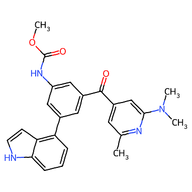 COC(=O)Nc1cc(C(=O)c2cc(C)nc(N(C)C)c2)cc(-c2cccc3[nH]ccc23)c1